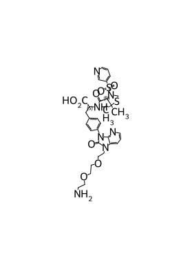 CC1(C)SCN(S(=O)(=O)c2cccnc2)[C@@H]1C(=O)N[C@@H](Cc1ccc(-n2c(=O)n(CCOCCOCCN)c3cccnc32)cc1)C(=O)O